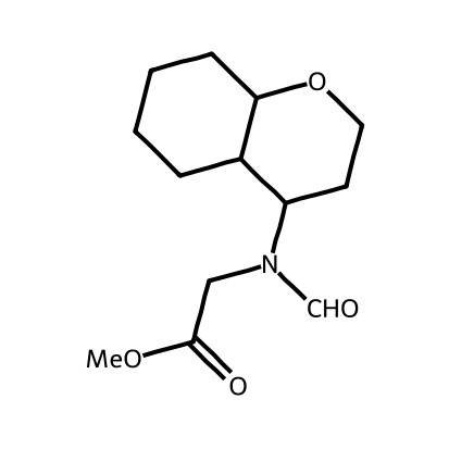 COC(=O)CN(C=O)C1CCOC2CCCCC21